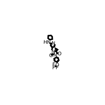 O=C1N(c2ccc(OC(F)(F)F)cc2)C(=O)C2(CC2)N1Cc1ccnc(NC2CCCCC2)c1